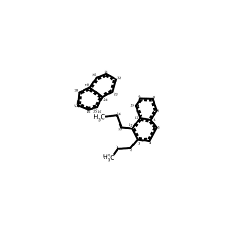 CCCc1ccc2ccccc2c1CCC.c1ccc2ccccc2c1